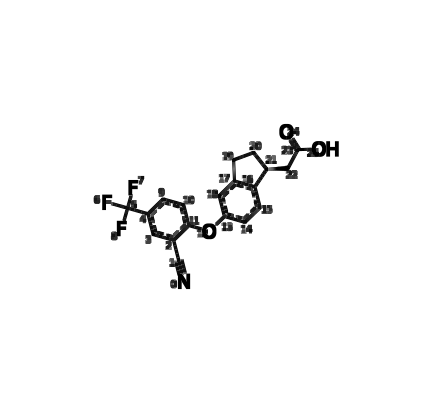 N#Cc1cc(C(F)(F)F)ccc1Oc1ccc2c(c1)CC[C@H]2CC(=O)O